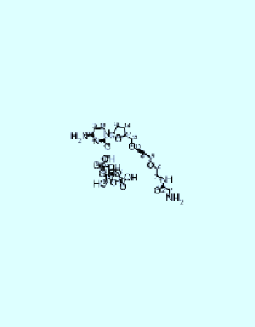 NCC(=O)NCCOCC#COC[C@@H]1CC[C@H](n2ccc(N)nc2=O)O1.O=P(O)(O)OP(=O)(O)OP(=O)(O)O